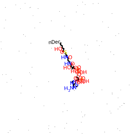 CCCCCCCCCCCCCC(O)CC(=O)SCCNC(=O)CCNC(=O)[C@H](O)C(C)(C)COP(=O)(O)OP(=O)(O)OC[C@H]1O[C@@H](n2cnc3c(N)ncnc32)[C@H](O)[C@@H]1OP(=O)(O)O